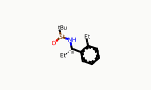 CCc1ccccc1[C@H](CC)N[S+]([O-])C(C)(C)C